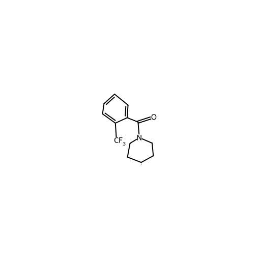 O=C(c1ccccc1C(F)(F)F)N1CC[CH]CC1